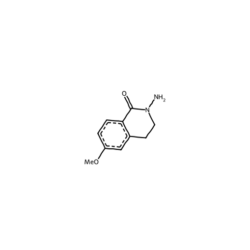 COc1ccc2c(c1)CCN(N)C2=O